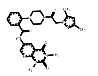 Cc1cc(C)n(CC(=O)N2CCN(c3ccccc3C(=O)Nc3cnc4c(c3)c(=O)n(C)c(=O)n4C)CC2)n1